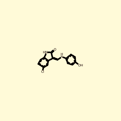 O=C1Nc2ccc(Cl)cc2C1=CNc1ccc(O)cc1